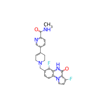 CNC(=O)c1ccc(C2=CCN(Cc3ccc4c([nH]c(=O)c5c(F)ccn54)c3F)CC2)cn1